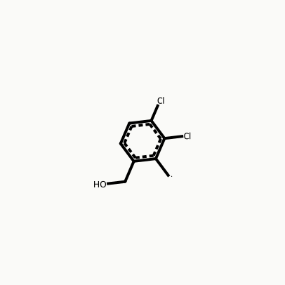 [CH2]c1c(CO)ccc(Cl)c1Cl